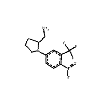 NCC1CCCN1c1ccc([N+](=O)[O-])c(C(F)(F)F)c1